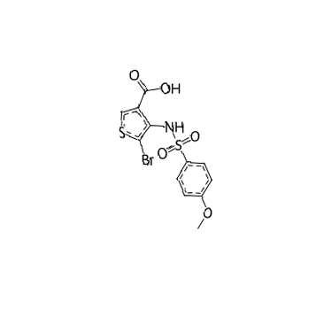 COc1ccc(S(=O)(=O)Nc2c(C(=O)O)csc2Br)cc1